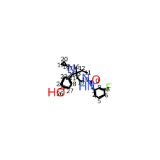 O=C(Nc1cccc(F)c1)N1CCC2(CC1)CN(C1CC1)C2c1ccc(O)cc1